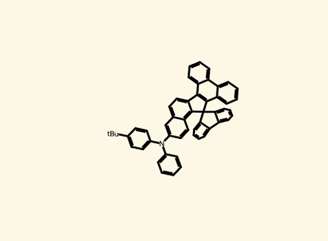 CC(C)(C)c1ccc(N(c2ccccc2)c2ccc3c4c(ccc3c2)-c2c(c3ccccc3c3ccccc23)C42c3ccccc3-c3ccccc32)cc1